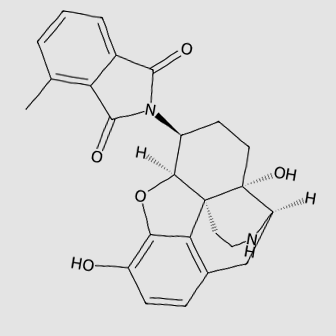 Cc1cccc2c1C(=O)N([C@H]1CC[C@@]3(O)[C@H]4Cc5ccc(O)c6c5[C@@]3(CCN4)[C@H]1O6)C2=O